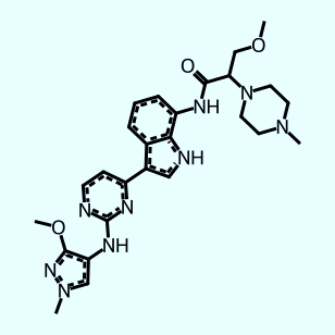 COCC(C(=O)Nc1cccc2c(-c3ccnc(Nc4cn(C)nc4OC)n3)c[nH]c12)N1CCN(C)CC1